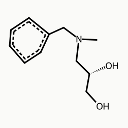 CN(Cc1ccccc1)C[C@H](O)CO